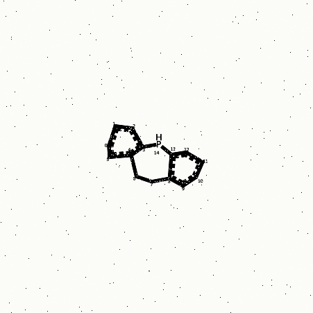 c1ccc2c(c1)CCc1ccccc1P2